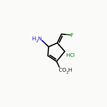 Cl.NC1C=C(C(=O)O)CC1=CF